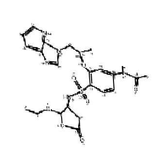 CCOC1OC(=O)CC1NS(=O)(=O)c1ccc(NC(C)=O)cc1O[C@H](C)Cn1cnc2cccnc21